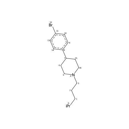 CC(C)CCCN1CCC(c2ccc(Br)cc2)CC1